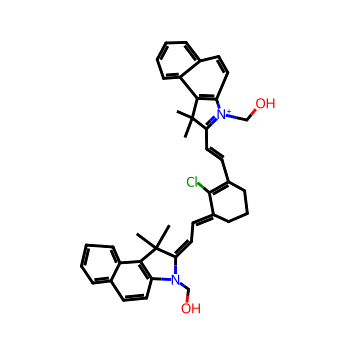 CC1(C)C(/C=C/C2=C(Cl)C(=C/C=C3/N(CO)c4ccc5ccccc5c4C3(C)C)/CCC2)=[N+](CO)c2ccc3ccccc3c21